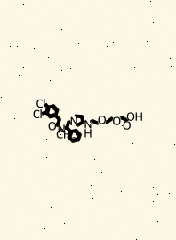 CN(C(=O)Cc1ccc(Cl)c(Cl)c1)C(CN1CCC(NCCOCCOCC(=O)O)C1)c1ccccc1